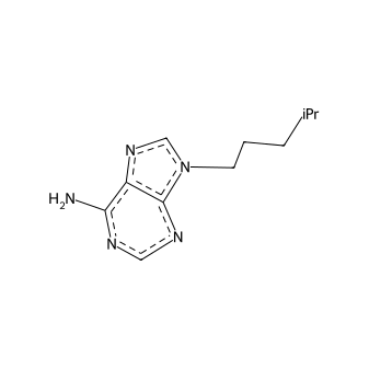 CC(C)CCCn1cnc2c(N)ncnc21